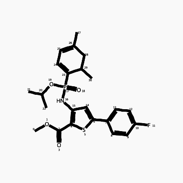 COC(=O)c1sc(-c2ccc(F)cc2)cc1NP(=O)(OC(C)C)C1=CC=C(C)CC1C